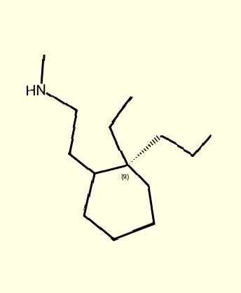 CCC[C@]1(CC)CCCCC1CCNC